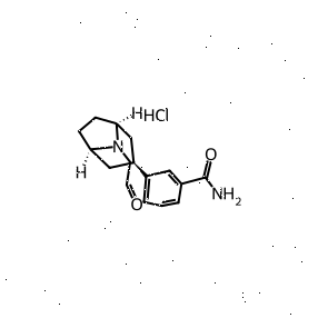 Cl.NC(=O)c1cccc([C@H]2C[C@H]3CC[C@@H](C2)N3CC=O)c1